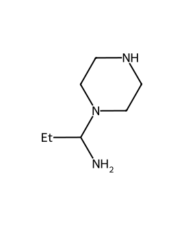 CCC(N)N1CCNCC1